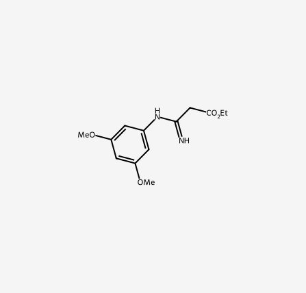 CCOC(=O)CC(=N)Nc1cc(OC)cc(OC)c1